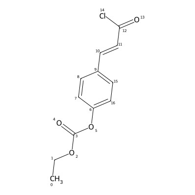 CCOC(=O)Oc1ccc(C=CC(=O)Cl)cc1